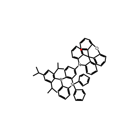 CC(C)c1cc(C(C)C)c(B2c3ccccc3[Si](c3ccccc3)(c3ccccc3)c3cc(N4c5ccccc5C5(c6ccccc6Oc6ccccc65)c5ccccc54)ccc32)c(C(C)C)c1